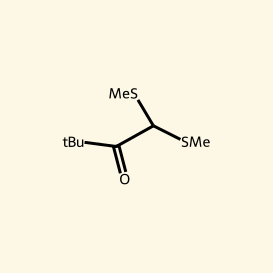 CSC(SC)C(=O)C(C)(C)C